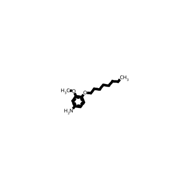 CCCCCCCCOc1ccc(N)cc1OC